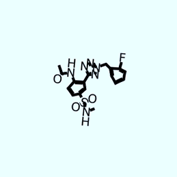 CNS(=O)(=O)c1ccc(NC(C)=O)c(-c2nnn(Cc3ccccc3F)n2)c1